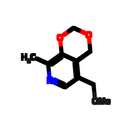 COCc1cnc(C)c2c1COCO2